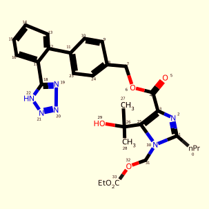 CCCc1nc(C(=O)OCc2ccc(-c3ccccc3-c3nnn[nH]3)cc2)c(C(C)(C)O)n1COC(=O)OCC